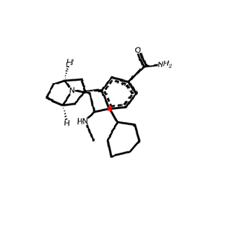 CNC(CC1CCCCC1)CN1[C@@H]2CC[C@H]1C[C@@H](c1cccc(C(N)=O)c1)C2